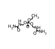 CCOP(=O)(OCNC(N)=O)OCNC(N)=O